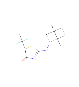 CC12CC[C@H]1C[C@@H]2NC1=NC(=O)[C@@](C)(C(C)(F)F)S1